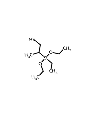 CCO[Si](CC)(OCC)C(C)CS